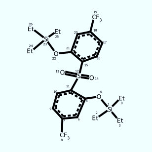 CC[Si](CC)(CC)Oc1cc(C(F)(F)F)ccc1S(=O)(=O)c1ccc(C(F)(F)F)cc1O[Si](CC)(CC)CC